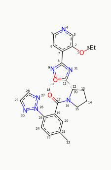 CCOc1cnccc1-c1noc([C@@H]2CCCN2C(=O)c2cc(C)ccc2-n2nccn2)n1